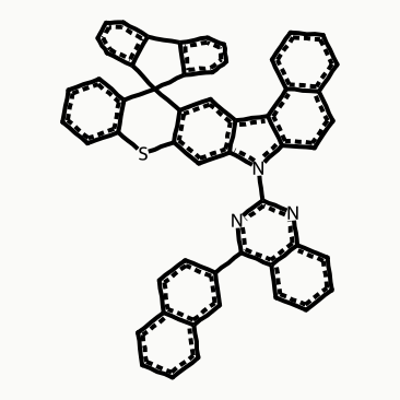 c1ccc2c(c1)Sc1cc3c(cc1C21c2ccccc2-c2ccccc21)c1c2ccccc2ccc1n3-c1nc(-c2ccc3ccccc3c2)c2ccccc2n1